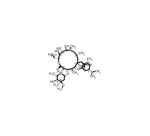 CC[C@H]1OC(=O)[C@H](C)[C@@H](O[C@@H]2C[C@@](C)(OC)[C@@H](O)[C@H](C)O2)[C@H](C)[C@@H](OC2C[C@@H](N(C)C)C[C@@H](C)O2)[C@@](O)(CC(=O)O)C[C@@H](C)CN(C)[C@H](C)[C@@H](O)[C@]1(C)O